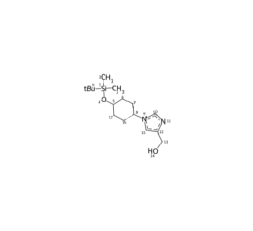 CC(C)(C)[Si](C)(C)OC1CCC(n2cnc(CO)c2)CC1